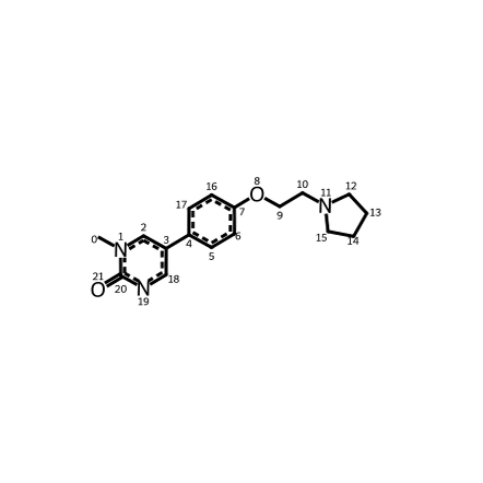 Cn1cc(-c2ccc(OCCN3CCCC3)cc2)cnc1=O